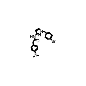 CN(C)c1ccc(CC(=O)Nc2ccn(Cc3ccc(Br)cc3)n2)cc1